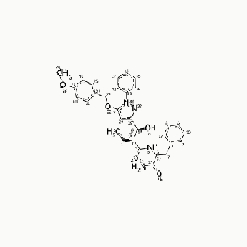 C=C[C@H](C(=O)N[C@@H](Cc1ccccc1)C(N)=O)[C@H](O)c1cc(OCc2ccc(OC)cc2)n(-c2ccccc2)n1